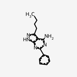 CCCCc1n[nH]c2nc(-c3ccccc3)nc(N)c12